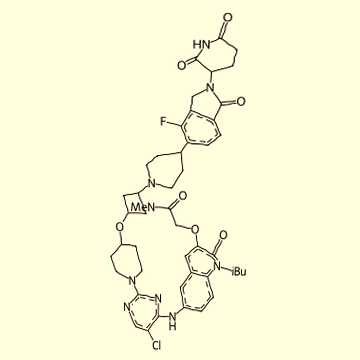 CCC(C)n1c(=O)c(OCC(=O)NC)cc2cc(Nc3nc(N4CCC(OC5CC(N6CCC(c7ccc8c(c7F)CN(C7CCC(=O)NC7=O)C8=O)CC6)C5)CC4)ncc3Cl)ccc21